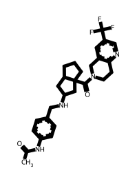 CC(=O)Nc1ccc(CNC2CC3CCCC3(C(=O)N3CCc4ncc(C(F)(F)F)cc4C3)C2)cc1